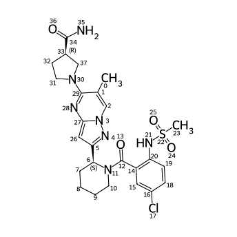 Cc1cn2nc([C@@H]3CCCCN3C(=O)c3cc(Cl)ccc3NS(C)(=O)=O)cc2nc1N1CC[C@@H](C(N)=O)C1